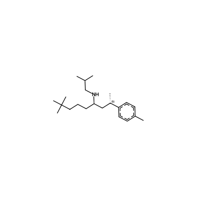 Cc1ccc([C@@H](C)CC(CCCC(C)(C)C)NCC(C)C)cc1